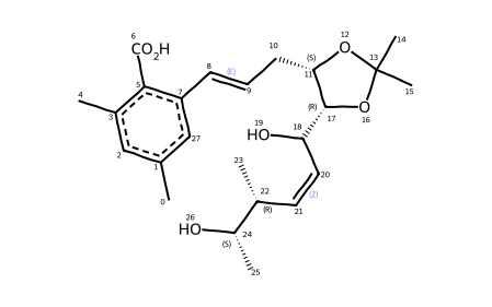 Cc1cc(C)c(C(=O)O)c(/C=C/C[C@@H]2OC(C)(C)O[C@@H]2C(O)/C=C\[C@@H](C)[C@H](C)O)c1